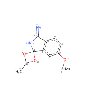 CCCCCCOc1ccc2c(c1)C1(NC2=N)OC(C)O1